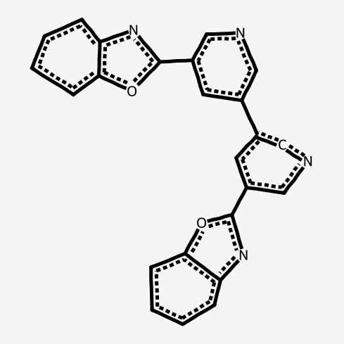 c1ccc2oc(-c3cncc(-c4cncc(-c5nc6ccccc6o5)c4)c3)nc2c1